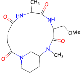 COCC1NC(=O)C(C)NC(=O)CCC(=O)N2CCCC(C2)N(C)C1=O